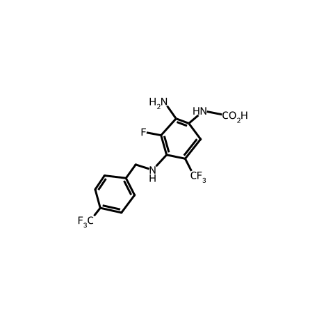 Nc1c(NC(=O)O)cc(C(F)(F)F)c(NCc2ccc(C(F)(F)F)cc2)c1F